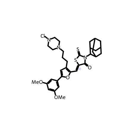 COc1cc(OC)cc(-c2cc(CCCN3CCN(Cl)CC3)c(/C=C3\SC(=S)N(C4C5CC6CC(C5)CC4C6)C3=O)o2)c1